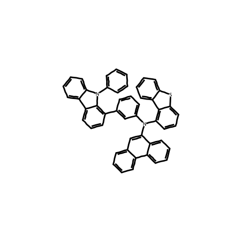 c1ccc(-n2c3ccccc3c3cccc(-c4cccc(N(c5cc6ccccc6c6ccccc56)c5cccc6sc7ccccc7c56)c4)c32)cc1